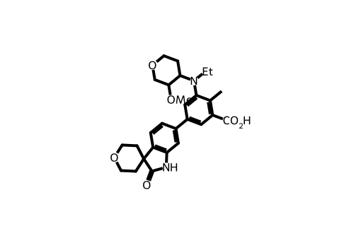 CCN(c1cc(-c2ccc3c(c2)NC(=O)C32CCOCC2)cc(C(=O)O)c1C)C1CCOCC1OC